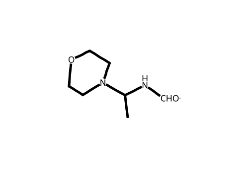 CC(N[C]=O)N1CCOCC1